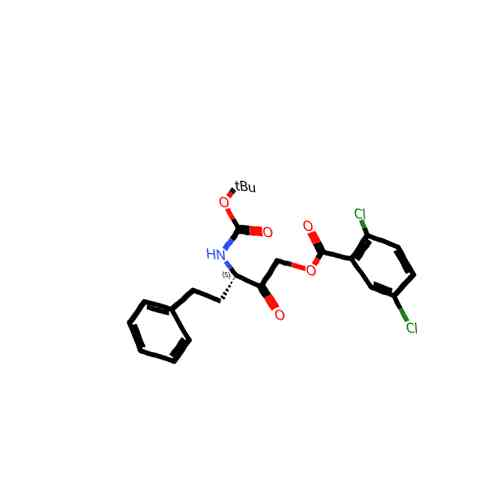 CC(C)(C)OC(=O)N[C@@H](CCc1ccccc1)C(=O)COC(=O)c1cc(Cl)ccc1Cl